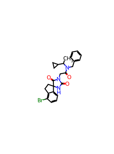 CC(C1CC1)N(Cc1ccccc1)C(=O)CN1C(=O)NC2(CCc3c(Br)cccc32)C1=O